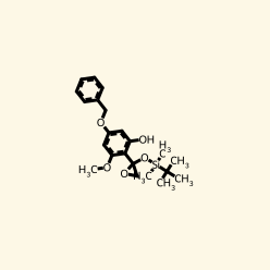 COc1cc(OCc2ccccc2)cc(O)c1C1(O[Si](C)(C)C(C)(C)C)CO1